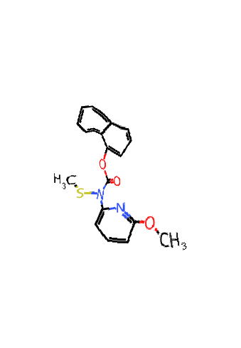 COc1cccc(N(SC)C(=O)Oc2cccc3ccccc23)n1